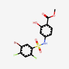 COC(=O)c1ccc(NS(=O)(=O)c2cc(Br)c(F)cc2F)cc1O